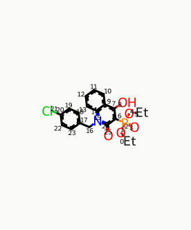 CCOP(=O)(OCC)c1c(O)c2ccccc2n(Cc2ccc(Cl)cc2)c1=O